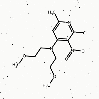 COCCN(CCOC)c1cc(C)nc(Cl)c1[N+](=O)[O-]